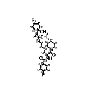 CC1([C@@H]2CC2(C)NCCSC[C@H](NC(=O)c2ccc(F)cc2)C(=O)N2CCCCC2)C=CC(F)=CC1